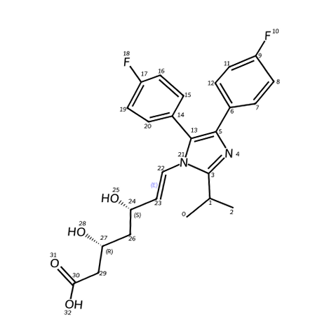 CC(C)c1nc(-c2ccc(F)cc2)c(-c2ccc(F)cc2)n1/C=C/[C@@H](O)C[C@@H](O)CC(=O)O